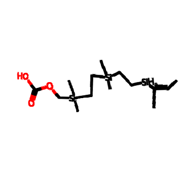 CC=C(C)[SiH2]CC[Si](C)(C)CC[Si](C)(C)COC(=O)O